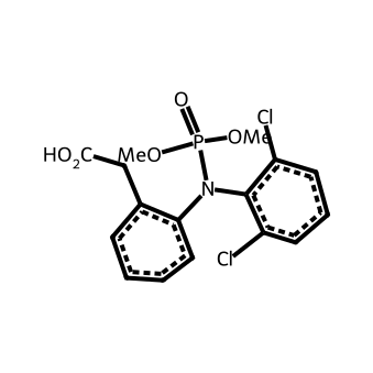 COP(=O)(OC)N(c1ccccc1CC(=O)O)c1c(Cl)cccc1Cl